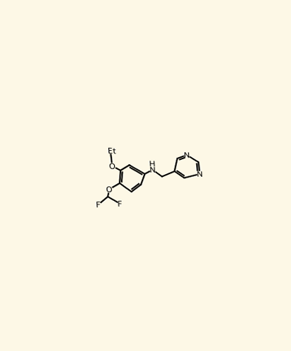 CCOc1cc(NCc2cncnc2)ccc1OC(F)F